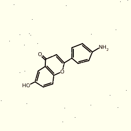 Nc1ccc(-c2cc(=O)c3cc(O)ccc3o2)cc1